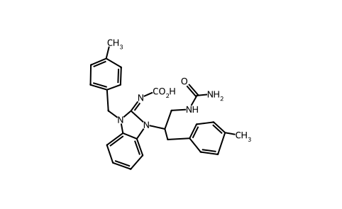 Cc1ccc(CC(CNC(N)=O)n2c(=NC(=O)O)n(Cc3ccc(C)cc3)c3ccccc32)cc1